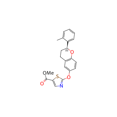 COC(=O)c1cnc(Oc2ccc3c(c2)CC[C@@H](c2ccccc2C)O3)s1